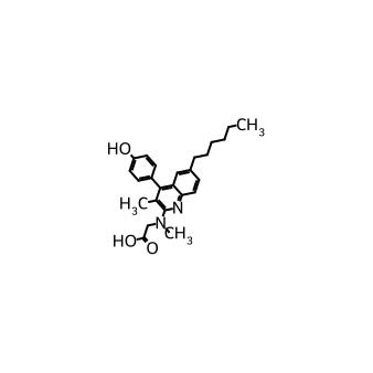 CCCCCCc1ccc2nc(N(C)CC(=O)O)c(C)c(-c3ccc(O)cc3)c2c1